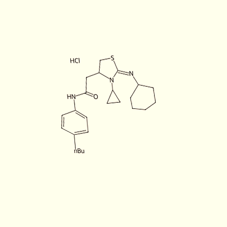 CCCCc1ccc(NC(=O)CC2CSC(=NC3CCCCC3)N2C2CC2)cc1.Cl